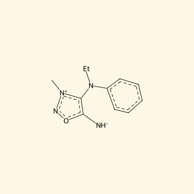 CCN(c1ccccc1)c1c([NH-])on[n+]1C